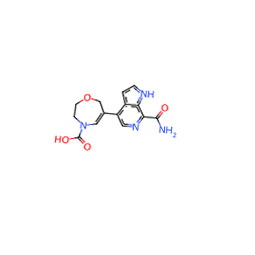 NC(=O)c1ncc(C2=CN(C(=O)O)CCOC2)c2cc[nH]c12